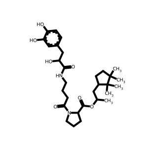 CC(CC1CCC(C)(C)C1(C)C)OC(=O)C1CCCN1C(=O)CCCNC(=O)C(O)Cc1ccc(O)c(O)c1